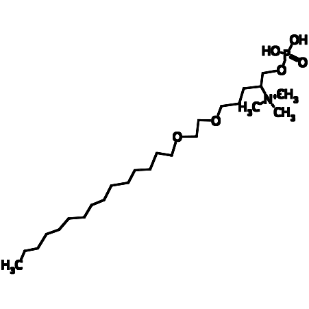 CCCCCCCCCCCCCCCOCCOCCCC(COP(=O)(O)O)[N+](C)(C)C